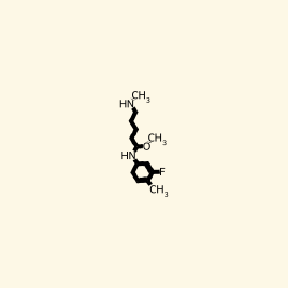 CNCCCCC(NC1C=C(F)C(C)=CC1)OC